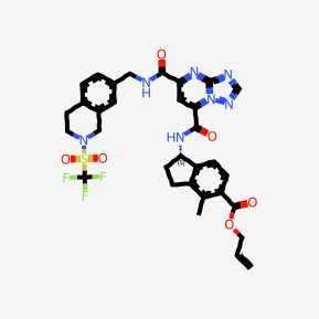 C=CCOC(=O)c1ccc2c(c1C)CC[C@@H]2NC(=O)c1cc(C(=O)NCc2ccc3c(c2)CN(S(=O)(=O)C(F)(F)F)CC3)nc2ncnn12